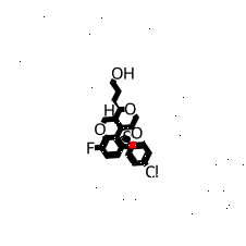 O=S(=O)(c1ccc(Cl)cc1)[C@]12CCO[C@H](CCCO)[C@H]1COc1c(F)ccc(F)c12